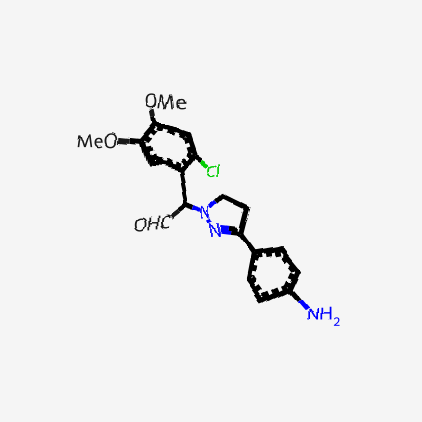 COc1cc(Cl)c(C(C=O)N2CCC(c3ccc(N)cc3)=N2)cc1OC